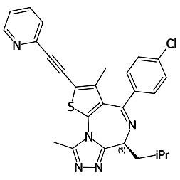 Cc1c(C#Cc2ccccn2)sc2c1C(c1ccc(Cl)cc1)=N[C@@H](CC(C)C)c1nnc(C)n1-2